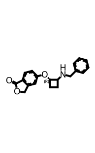 O=C1OCc2cc(O[C@@H]3CCC3NCc3ccccc3)ccc21